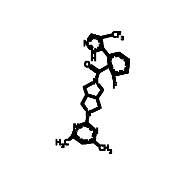 Cc1cc(C)nc(N2CC3CN(C(=O)c4c(F)cccc4-c4[nH]ncc4C(F)(F)F)CC3C2)n1